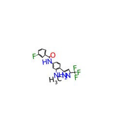 Cn1nc(C(F)(F)F)cc1-c1ccc(NC(=O)c2cccc(F)c2)cc1N